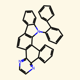 c1ccc(-c2ccccc2-n2c3ccccc3c3ccc4c5nccnc5c5ccccc5c4c32)cc1